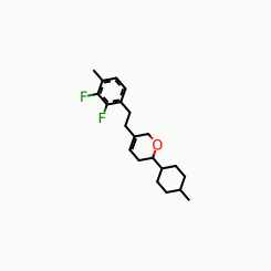 Cc1ccc(CCC2=CCC(C3CCC(C)CC3)OC2)c(F)c1F